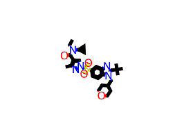 CCN(C(=O)c1cn(S(=O)(=O)c2ccc3c(c2)nc(C(C)(C)C)n3CC2CCOCC2)nc1C)C1CC1